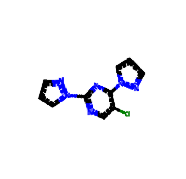 Clc1cnc(-n2cccn2)nc1-n1cccn1